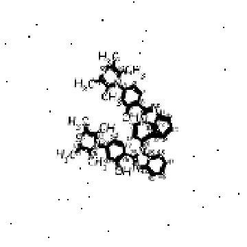 CC1=C(C)N(c2ccc(-c3nc4ccccc4n3/C=C\C(=C3CC3)n3c(-c4ccc(N5C(C)=C(C)SC(C)=C5C)cc4O)nc4ccccc43)c(O)c2)C(C)=C(C)S1